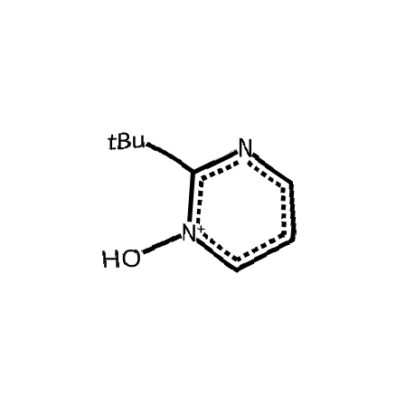 CC(C)(C)c1nccc[n+]1O